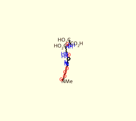 CNC(=O)CCOCCOCCOCCn1cc(-c2cccc(NC(=O)NCCCCC(NC(=O)NC(CCC(=O)O)C(=O)O)C(=O)O)c2)nn1